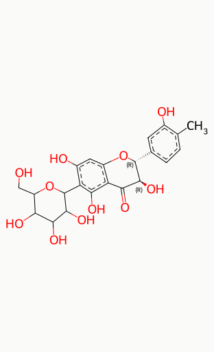 Cc1ccc([C@H]2Oc3cc(O)c(C4OC(CO)C(O)C(O)C4O)c(O)c3C(=O)[C@@H]2O)cc1O